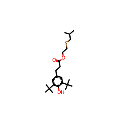 CC(C)CSCCOC(=O)CCc1cc(C(C)(C)C)c(O)c(C(C)(C)C)c1